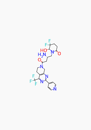 N[C@@H](CC(=O)N1CCc2c(nc(-c3ccncc3)nc2C(F)(F)F)C1)CN1C(=O)CCC(F)(F)C1O